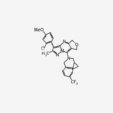 COc1ccc(-c2c(C)nn3c(N(Cc4ccc(C(F)(F)F)cc4)CC4CC4)c4c(nc23)COC4)c(Cl)c1